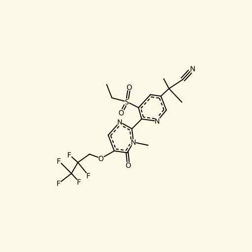 CCS(=O)(=O)c1cc(C(C)(C)C#N)cnc1-c1ncc(OCC(F)(F)C(F)(F)F)c(=O)n1C